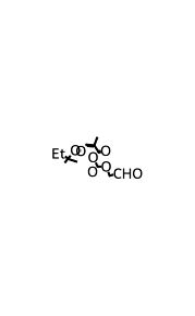 CCC(C)(C)OOC=C(C)C(=O)OC(=O)OCC=O